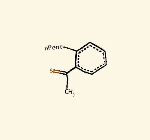 CCCCCc1ccccc1C(C)=S